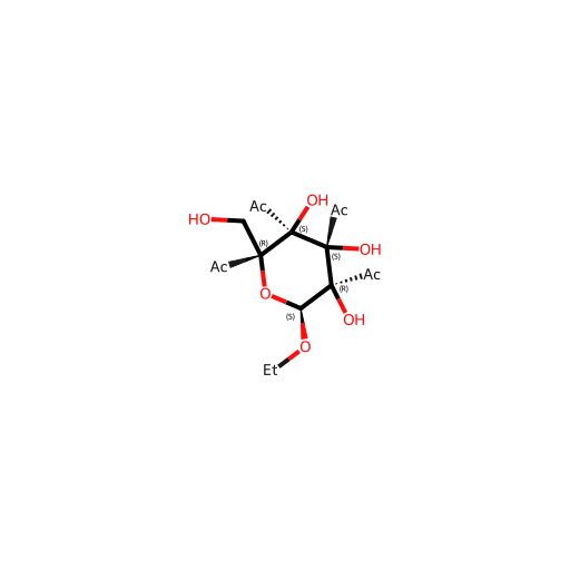 CCO[C@H]1O[C@@](CO)(C(C)=O)[C@](O)(C(C)=O)[C@@](O)(C(C)=O)[C@]1(O)C(C)=O